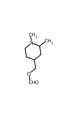 CC1CC(COC=O)CCN1C